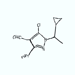 CCCc1nn(C(C)C2CC2)c(Cl)c1C=O